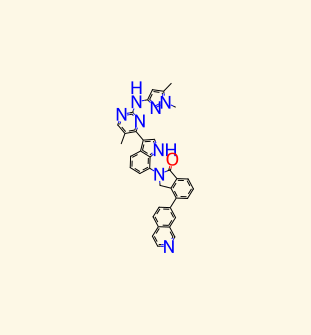 Cc1cnc(Nc2cc(C)n(C)n2)nc1-c1c[nH]c2c(N3Cc4c(cccc4-c4ccc5ccncc5c4)C3=O)cccc12